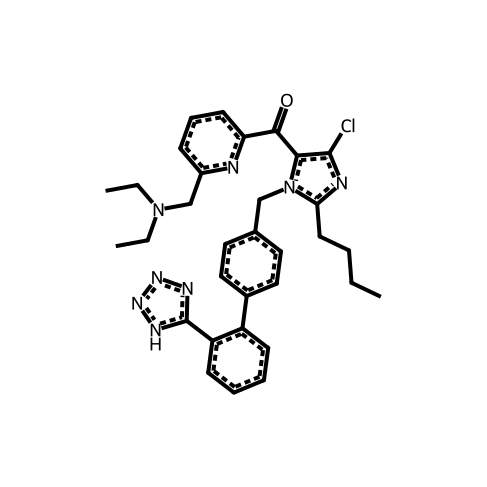 CCCCc1nc(Cl)c(C(=O)c2cccc(CN(CC)CC)n2)n1Cc1ccc(-c2ccccc2-c2nnn[nH]2)cc1